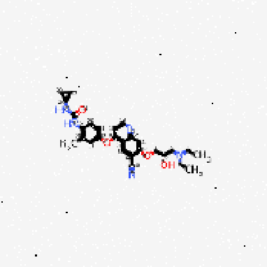 CCN(CC)C[C@H](O)COc1cc2nccc(Oc3ccc(NC(=O)NC4CC4)c(C)c3)c2cc1C#N